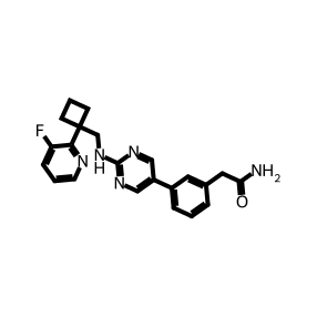 NC(=O)Cc1cccc(-c2cnc(NCC3(c4ncccc4F)CCC3)nc2)c1